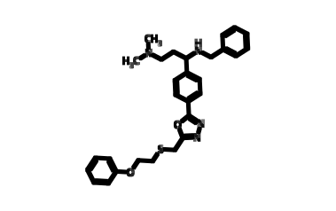 CN(C)CCC(NCc1ccccc1)c1ccc(-c2nnc(CSCCOc3ccccc3)o2)cc1